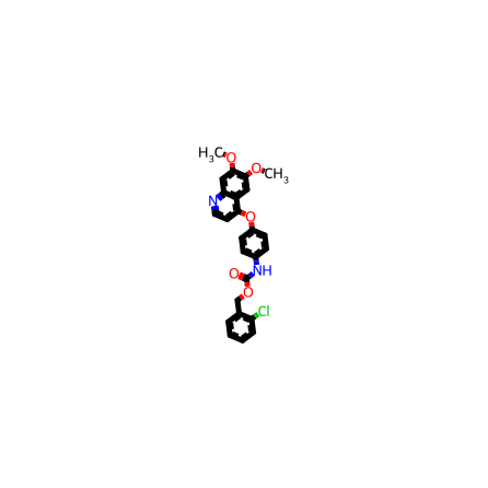 COc1cc2nccc(Oc3ccc(NC(=O)OCc4ccccc4Cl)cc3)c2cc1OC